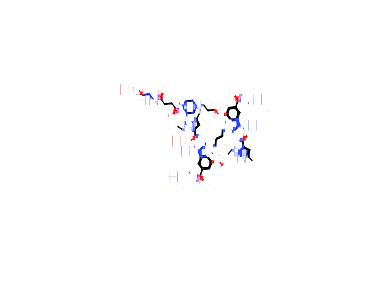 CCn1nc(C)cc1C(=O)/N=c1\[nH]c2cc(C(N)=O)cc(OCCCN3CCN(C(=O)CCC(=O)NCCO)CC3)c2n1C/C=C/Cn1/c(=N/C(O)c2cc(C)nn2CC)[nH]c2cc(C(N)=O)cc(OC)c21